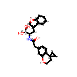 O=C(Cc1ccc2c(c1)OCCC21CC1)NC(Cc1coc2ccccc12)B(O)O